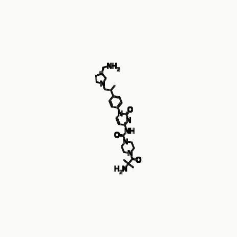 CC(CN1CC[C@@H](CN)C1)c1ccc(-n2ccc(NC(=O)N3CCN(C(=O)C(C)(C)N)CC3)nc2=O)cc1